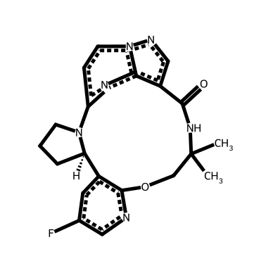 CC1(C)COc2ncc(F)cc2[C@H]2CCCN2c2ccn3ncc(c3n2)C(=O)N1